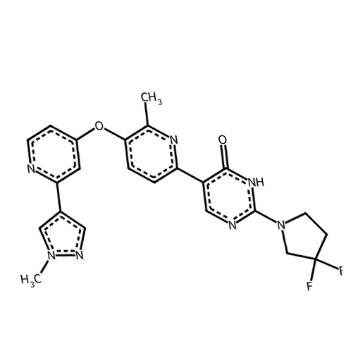 Cc1nc(-c2cnc(N3CCC(F)(F)C3)[nH]c2=O)ccc1Oc1ccnc(-c2cnn(C)c2)c1